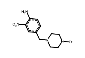 CCN1CCN(Cc2ccc(N)c([N+](=O)[O-])c2)CC1